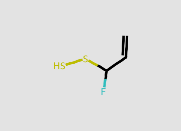 C=CC(F)SS